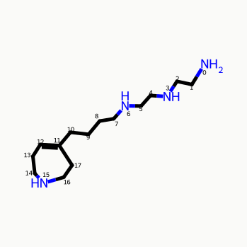 NCCNCCNCCCCC1=CCCNCC1